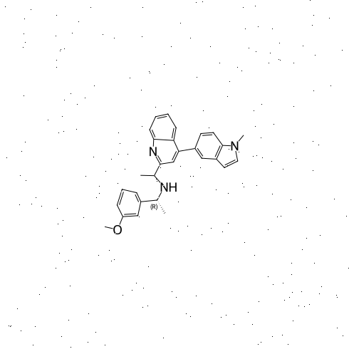 COc1cccc([C@@H](C)NC(C)c2cc(-c3ccc4c(ccn4C)c3)c3ccccc3n2)c1